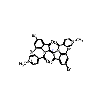 C[n+]1ccc(C(=O)N2/C(=C3\C(=O)c4cc(Br)cc(Br)c4N3C(=O)c3cc[n+](C)cc3)C(=O)c3cc(Br)cc(Br)c32)cc1